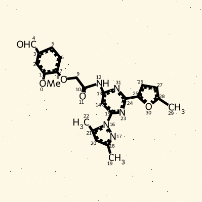 COc1cc(C=O)ccc1OCC(=O)Nc1cc(-n2nc(C)cc2C)nc(-c2ccc(C)o2)n1